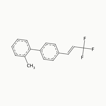 Cc1ccccc1-c1ccc(/C=C/C(F)(F)F)cc1